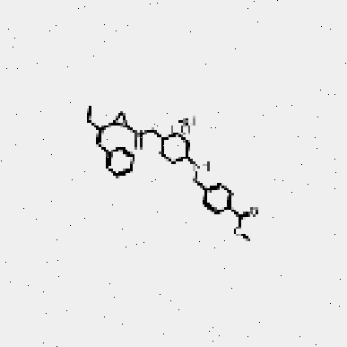 CCC(=Cc1ccccc1)C1CC1NCC1CCC(NCc2ccc(C(=O)OC)cc2)CC1.Cl.Cl